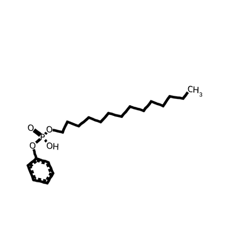 CCCCCCCCCCCCCCOP(=O)(O)Oc1ccccc1